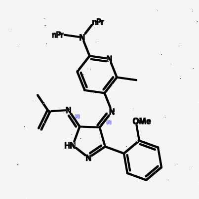 C=C(C)/N=C1\NN=C(c2ccccc2OC)\C1=N\c1ccc(N(CCC)CCC)nc1C